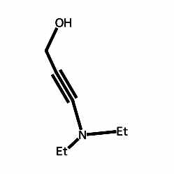 CCN(C#CCO)CC